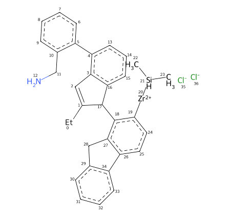 CCC1=Cc2c(-c3ccccc3CN)cccc2C1c1[c]([Zr+2][SiH](C)C)ccc2c1Cc1ccccc1-2.[Cl-].[Cl-]